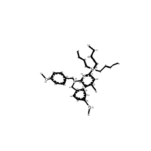 CCC[CH2][Sn]([CH2]CCC)([CH2]CCC)[c]1cc(C)c(F)c(N(Cc2ccc(OC)cc2)Cc2ccc(OC)cc2)n1